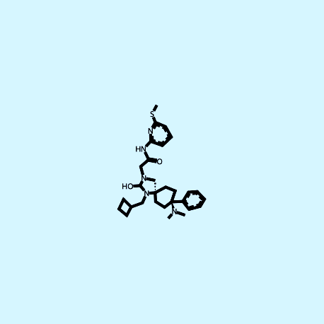 CSc1cccc(NC(=O)CN2C[C@]3(CC[C@](c4ccccc4)(N(C)C)CC3)N(CC3CCC3)C2O)n1